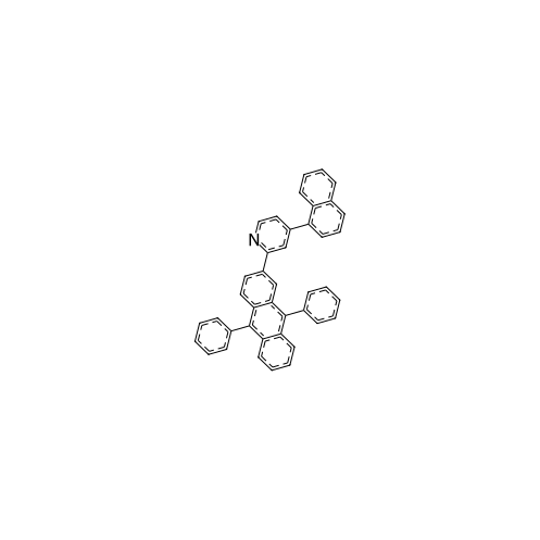 c1ccc(-c2c3ccccc3c(-c3ccccc3)c3cc(-c4cc(-c5cccc6ccccc56)ccn4)ccc23)cc1